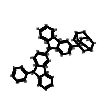 c1ccc(-n2c3ccccc3c3cc(-n4c5ccc(C67CC8CC(CC(C8)C6)C7)cc5c5ncccc54)ccc32)cc1